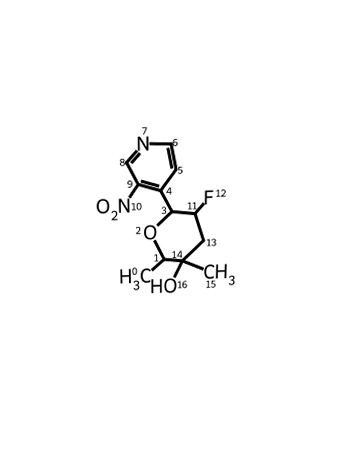 CC1OC(c2ccncc2[N+](=O)[O-])C(F)CC1(C)O